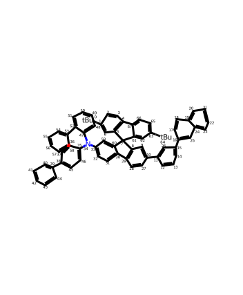 CC(C)(C)c1ccc2c(c1)C1(c3cc(-c4cccc(-c5ccc6ccccc6c5)c4)ccc3-c3ccc(N(c4ccc(-c5ccccc5)cc4)c4ccccc4-c4ccccc4)cc31)c1cc(C(C)(C)C)ccc1-2